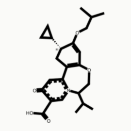 CC(C)COC1=CC2=C(C[C@@H]1C1CC1)c1cc(=O)c(C(=O)O)cn1C(C(C)C)CO2